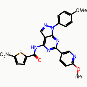 CCCOc1ccc(-c2nc(NC(=O)c3ccc([N+](=O)[O-])s3)c3cnn(-c4ccc(OC)cc4)c3n2)cn1